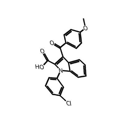 COc1ccc(C(=O)c2c(C(=O)O)n(-c3cccc(Cl)c3)c3ccccc23)cc1